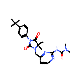 CN(C)C(=O)Nc1nccc(CN2C(=O)N(c3ccc(C(C)(C)C)cc3)C(=O)C2(C)C)n1